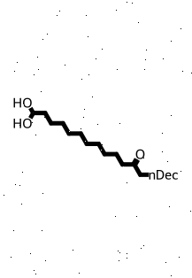 CCCCCCCCCCCC(=O)CCCCCCCCCCC(O)O